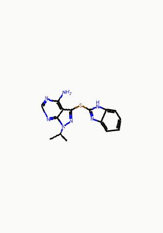 CC(C)n1nc(Sc2nc3ccccc3[nH]2)c2c(N)ncnc21